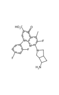 Cc1c(F)c(N2CC3CC(N)C3C2)nc2c1c(=O)c(C(=O)O)cn2-c1ccc(F)cc1F